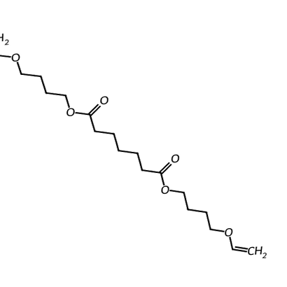 C=COCCCCOC(=O)CCCCCC(=O)OCCCCOC=C